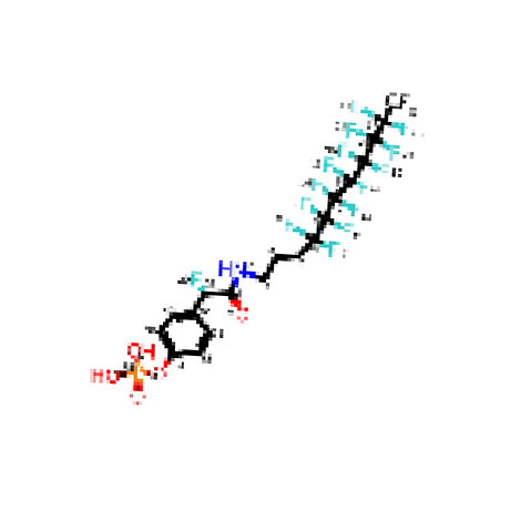 O=C(NCCCC(F)(F)C(F)(F)C(F)(F)C(F)(F)C(F)(F)C(F)(F)C(F)(F)C(F)(F)F)C(F)c1ccc(OP(=O)(O)O)cc1